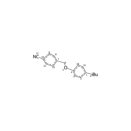 CCC(C)c1ccc(OCc2ccc(C#N)cc2)cc1